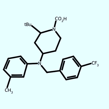 Cc1cccc(N(Cc2ccc(C(F)(F)F)cc2)C2CCN(C(=O)O)C(C(C)(C)C)C2)c1